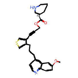 COc1ccc2nccc(CCCc3cscc3C#CCOC(=O)[C@@H]3CCCNC3)c2c1